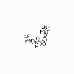 Cc1oc2ccc(OCc3cccnc3C(F)(F)F)cc2c1C(=O)NC1CCN(C(F)C(F)F)CC1